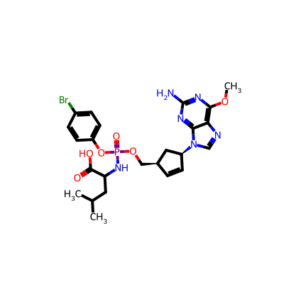 COc1nc(N)nc2c1ncn2[C@H]1C=C[C@@H](COP(=O)(NC(CC(C)C)C(=O)O)Oc2ccc(Br)cc2)C1